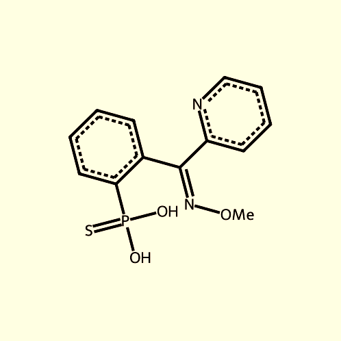 CON=C(c1ccccn1)c1ccccc1P(O)(O)=S